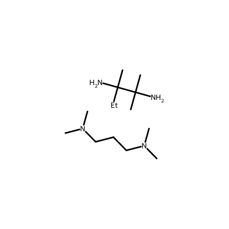 CCC(C)(N)C(C)(C)N.CN(C)CCCN(C)C